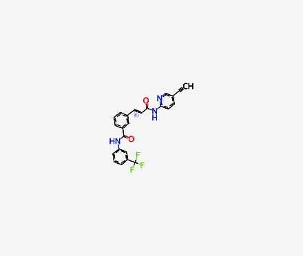 C#Cc1ccc(NC(=O)/C=C/c2cccc(C(=O)Nc3cccc(C(F)(F)F)c3)c2)nc1